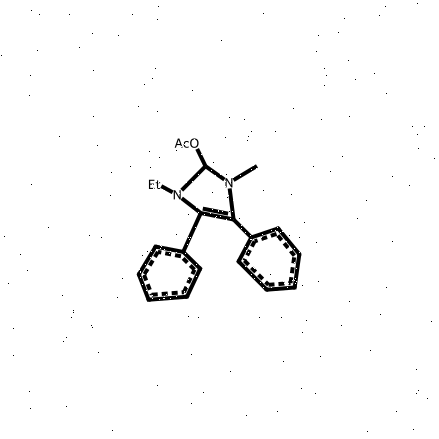 CCN1C(c2ccccc2)=C(c2ccccc2)N(C)C1OC(C)=O